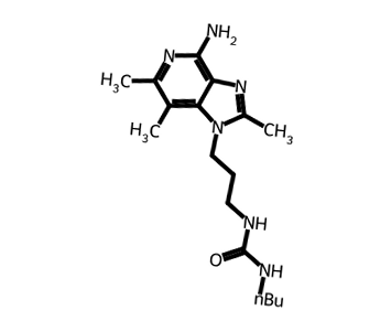 CCCCNC(=O)NCCCn1c(C)nc2c(N)nc(C)c(C)c21